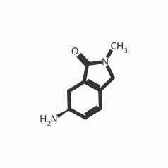 CN1CC2=C(C[C@H](N)C=C2)C1=O